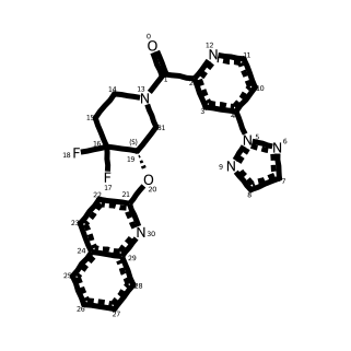 O=C(c1cc(-n2nccn2)ccn1)N1CCC(F)(F)[C@@H](Oc2ccc3ccccc3n2)C1